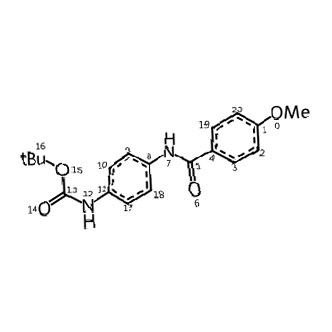 COc1ccc(C(=O)Nc2ccc(NC(=O)OC(C)(C)C)cc2)cc1